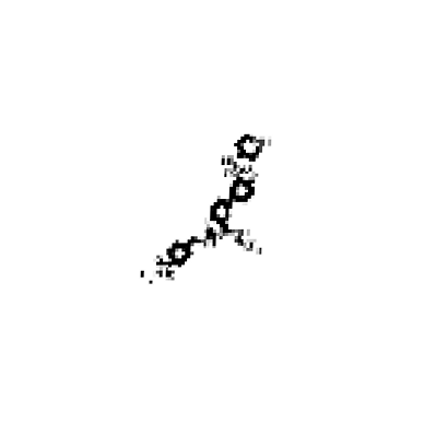 NS(=O)(=O)c1ccc(CNc2nc(NCC(F)(F)F)c3nc(-c4ccc(F)c(S(=O)(=O)NC5CCNCC5)c4)ccc3n2)cc1